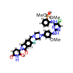 COc1cc(N2CCN(Cc3cc4c(cc3F)C(=O)N(C3CCC(=O)NC3=O)C4)CC2)ccc1Nc1ncc(Cl)c(Nc2ccccc2P(=O)(OC)OC)n1